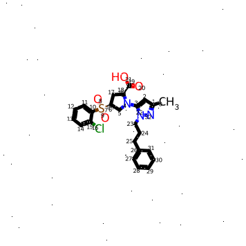 Cc1cc(N2C[C@H](S(=O)(=O)c3ccccc3Cl)C[C@H]2C(=O)O)n(CCCc2ccccc2)n1